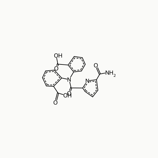 NC(=O)c1cccc(C(=O)N(c2ccccc2C(=O)O)c2ccccc2C(=O)O)n1